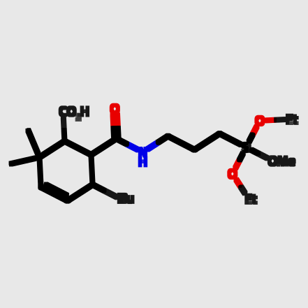 CCO[Si](CCCNC(=O)C1C(C(C)CC)C=CC(C)(C)C1C(=O)O)(OC)OCC